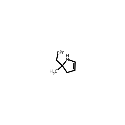 CCCCC1(C)CC=CN1